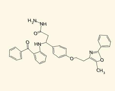 Cc1oc(-c2ccccc2)nc1CCOc1ccc(C(CC(=O)NN)Nc2ccccc2C(=O)c2ccccc2)cc1